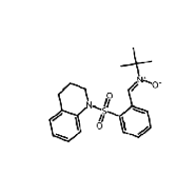 CC(C)(C)/[N+]([O-])=C/c1ccccc1S(=O)(=O)N1CCCc2ccccc21